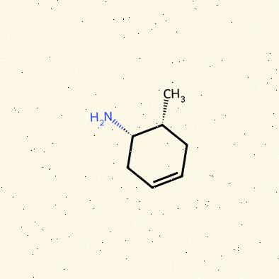 C[C@@H]1CC=CC[C@@H]1N